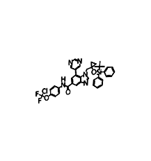 CC(C)(C)[Si](OC1(Cn2cnc3cc(C(=O)Nc4ccc(OC(F)(F)Cl)cc4)cc(-c4cncnc4)c32)CC1)(c1ccccc1)c1ccccc1